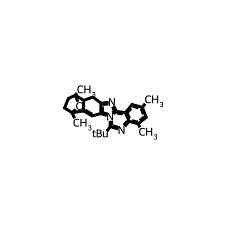 Cc1cc(C)c2nc(C(C)(C)C)n3c4c(nc3c2c1)CC1C(=C4)C2(C)CCC1(C)O2